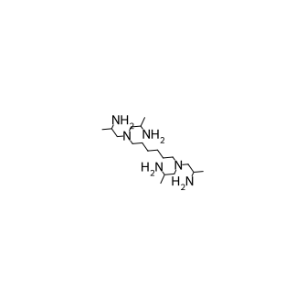 CC(N)CN(CCCCCCN(CC(C)N)CC(C)N)CC(C)N